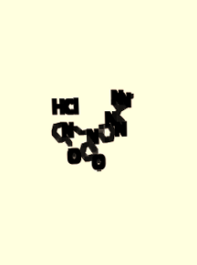 COc1cc(OC)cc(N(CCCN2CCCCC2C)c2ccc3ncc(-c4cnn(C)c4)nc3c2)c1.Cl